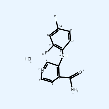 Cl.NC(=O)c1ccncc1Nc1ccc(I)cc1F